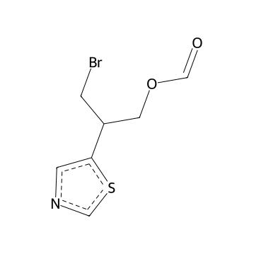 O=COCC(CBr)c1cncs1